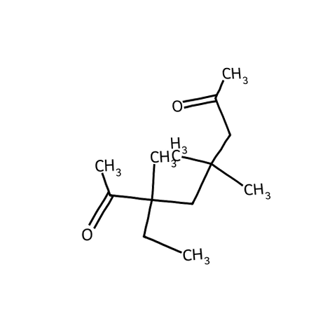 CCC(C)(CC(C)(C)CC(C)=O)C(C)=O